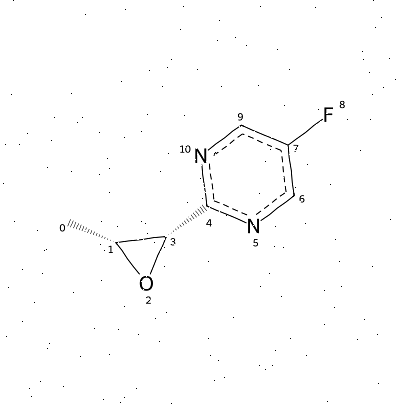 C[C@H]1O[C@H]1c1ncc(F)cn1